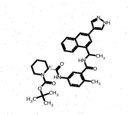 Cc1ccc(NC(=O)[C@H]2CCCCN2C(=O)OC(C)(C)C)cc1C(=O)NC(C)c1cc(-c2cn[nH]c2)cc2ccccc12